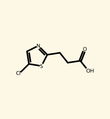 O=C(O)CCc1ncc(Cl)s1